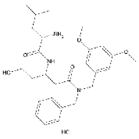 COc1cc(CN(Cc2ccccc2)C(=O)CC(CCO)NC(=O)[C@@H](N)CC(C)C)cc(OC)c1.Cl